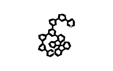 c1cncc(-c2cccc(-c3cccc(-c4cc(-c5cccc(-c6cccc(-c7cccnc7)c6)c5)cc(-c5cccc6c5-c5ccccc5C65c6ccccc6-c6ccccc65)c4)c3)c2)c1